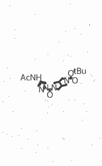 CC(=O)Nc1cnn(C(=O)N2CC3CN(C(=O)OC(C)(C)C)CC3C2)c1